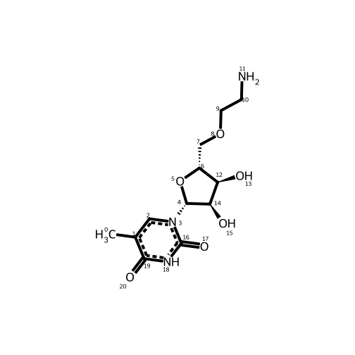 Cc1cn([C@@H]2O[C@H](COCCN)[C@@H](O)[C@H]2O)c(=O)[nH]c1=O